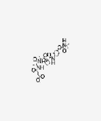 COC(=O)CCC(=O)N[C@@H](C)C(=O)N[C@@H](C)C(=O)N1CCC[C@H]1C(=O)Nc1ccc(OC(=O)NC(C)C)cc1